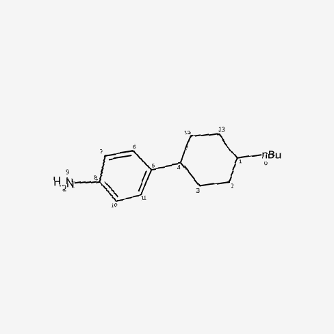 CCCCC1CCC(c2ccc(N)cc2)CC1